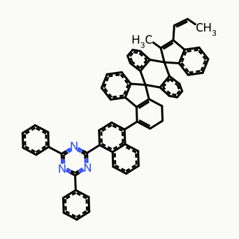 C/C=C\C1=C(C)C2(c3ccccc31)c1ccccc1C1(C3=C(C(c4ccc(-c5nc(-c6ccccc6)nc(-c6ccccc6)n5)c5ccccc45)=CCC3)c3ccccc31)c1ccccc12